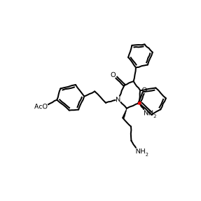 CC(=O)Oc1ccc(CCN(C(=O)C(c2ccccc2)c2ccccc2)[C@H](CCCN)C(N)=O)cc1